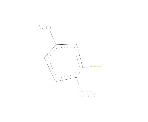 COc1ccc(OC(C)=O)cc1F